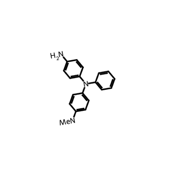 CNc1ccc(N(c2ccccc2)c2ccc(N)cc2)cc1